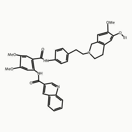 CCOc1cc2c(cc1OC)CN(CCc1ccc(NC(=O)c3cc(OC)c(OC)cc3NC(=O)c3cnc4ccccc4c3)cc1)CC2